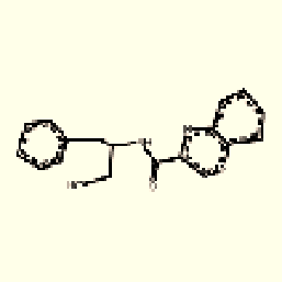 O=C(NC(CO)Cc1ccccc1)c1cnc2ccccc2n1